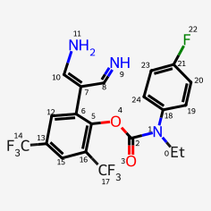 CCN(C(=O)Oc1c(/C(C=N)=C/N)cc(C(F)(F)F)cc1C(F)(F)F)c1ccc(F)cc1